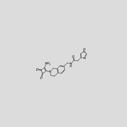 Nc1c(N2CCc3ccc(CNC(=O)Cc4c[nH]cn4)cc3C2)c(=O)c1=O